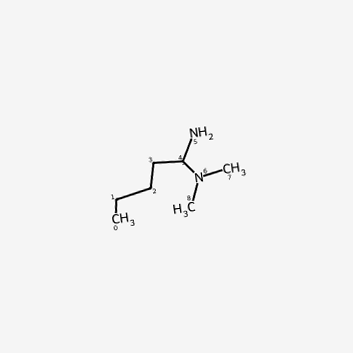 CCCC[C](N)N(C)C